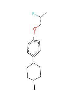 CC(F)COc1ccc([C@H]2CC[C@H](C)CC2)cc1